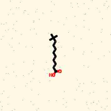 CC(C)(C)CCCCCCCCC(=O)O